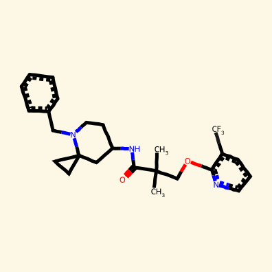 CC(C)(COc1ncccc1C(F)(F)F)C(=O)NC1CCN(Cc2ccccc2)C2(CC2)C1